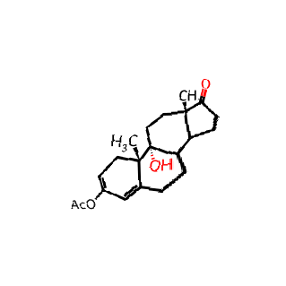 CC(=O)OC1=CC[C@@]2(C)C(=C1)CCC1C3CCC(=O)[C@@]3(C)CC[C@@]12O